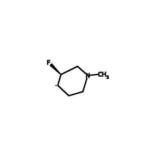 CN1CC[CH][C@@H](F)C1